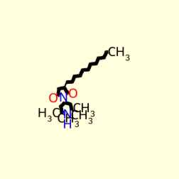 CCCCCCCCCCCC[C@@H]1CC(=O)N(C2CC(C)(C)NC(C)(C)C2)C1=O